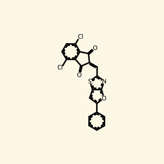 O=C1C(=Cc2nc3oc(-c4ccccc4)cc3s2)C(=O)c2c(Cl)ccc(Cl)c21